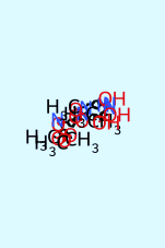 COc1cc(-c2oncc2-c2cccc(OC(=O)N3CCN(Cc4ccc(-n5c(O)nnc5-c5cc(C(C)C)c(O)cc5O)cc4)CC3OC)c2)cc(OC)c1OC